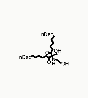 CCCCCCCCCCCCCCCC(=O)C(CO)(NCCO)C(=O)CCCCCCCCCCCCCCC